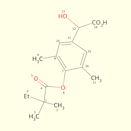 CCC(C)(C)C(=O)Oc1c(C)cc(C(O)C(=O)O)cc1C